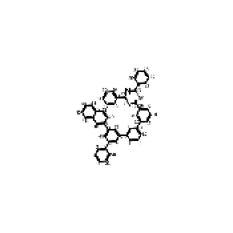 c1ccc(-c2cc(-c3cccc(-c4cccc(-c5nc(-c6ccccc6)nc(-c6ccccc6)n5)c4)c3)cc(-c3ccc4ccccc4c3)c2)cc1